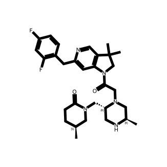 C[C@H]1CCC(=O)N(C[C@H]2CN[C@H](C)CN2CC(=O)N2CC(C)(C)c3cnc(Cc4ccc(F)cc4F)cc32)C1